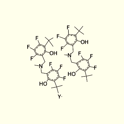 CN(Cc1c(O)c(C(C)(C)C)c(F)c(F)c1F)Cc1c(O)c(C(C)(C)C)c(F)c(F)c1F.CN(Cc1c(O)c(C(C)(C)C)c(F)c(F)c1F)Cc1c(O)c(C(C)(C)C)c(F)c(F)c1F.[Y]